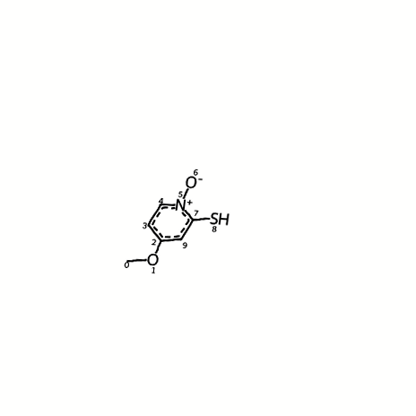 COc1cc[n+]([O-])c(S)c1